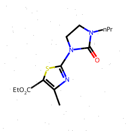 CCCN1CCN(c2nc(C)c(C(=O)OCC)s2)C1=O